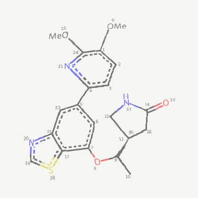 COc1ccc(-c2cc(OC(C)[C@H]3CNC(=O)C3)c3scnc3c2)nc1OC